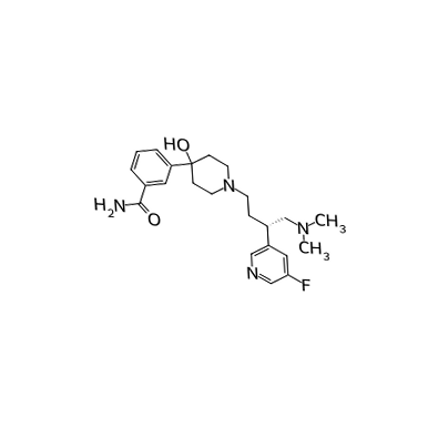 CN(C)C[C@@H](CCN1CCC(O)(c2cccc(C(N)=O)c2)CC1)c1cncc(F)c1